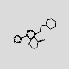 COc1c(-c2ccoc2)ccc(CSC2CCCCC2)c1C(=O)O